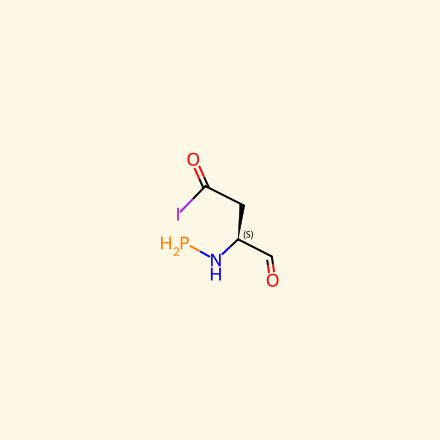 O=C[C@H](CC(=O)I)NP